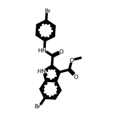 COC(=O)c1c(C(=O)Nc2ccc(Br)cc2)[nH]c2cc(Br)ccc12